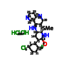 CSc1[nH]c(=O)c(-c2cc(Cl)ccc2F)cc1Nc1ccnc2ccncc12.Cl.Cl